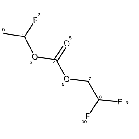 CC(F)OC(=O)OCC(F)F